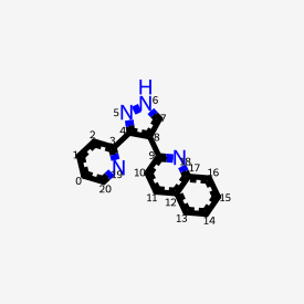 c1ccc(-c2n[nH]cc2-c2ccc3ccccc3n2)nc1